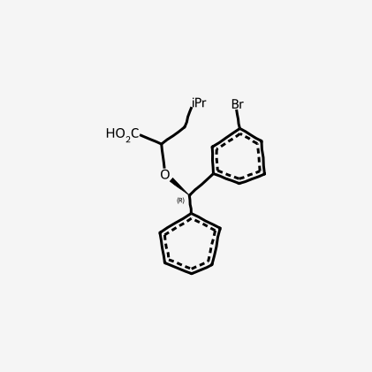 CC(C)CC(O[C@H](c1ccccc1)c1cccc(Br)c1)C(=O)O